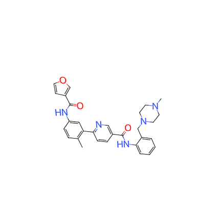 Cc1ccc(NC(=O)c2ccoc2)cc1-c1ccc(C(=O)Nc2ccccc2CN2CCN(C)CC2)cn1